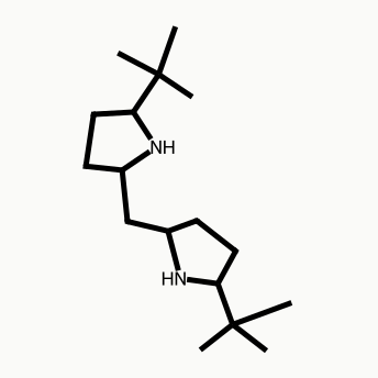 CC(C)(C)C1CCC(CC2CCC(C(C)(C)C)N2)N1